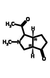 CC(=O)C1[C@H]2CCC(=O)[C@H]2CN1C